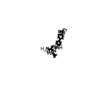 CC(C)S(=O)(=O)N1CCC(c2ccc(Nc3ncc(C(N)=O)c(NC4CC4)n3)cc2)CC1